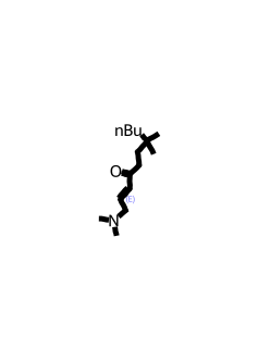 CCCCC(C)(C)CCC(=O)/C=C/CN(C)C